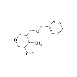 CN1C(C=O)COCC1COCc1ccccc1